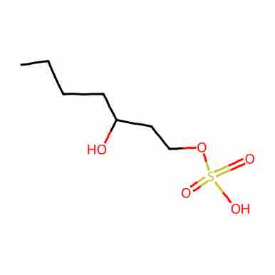 CCCCC(O)CCOS(=O)(=O)O